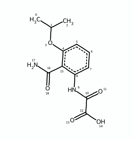 CC(C)Oc1cccc(NC(=O)C(=O)O)c1C(N)=O